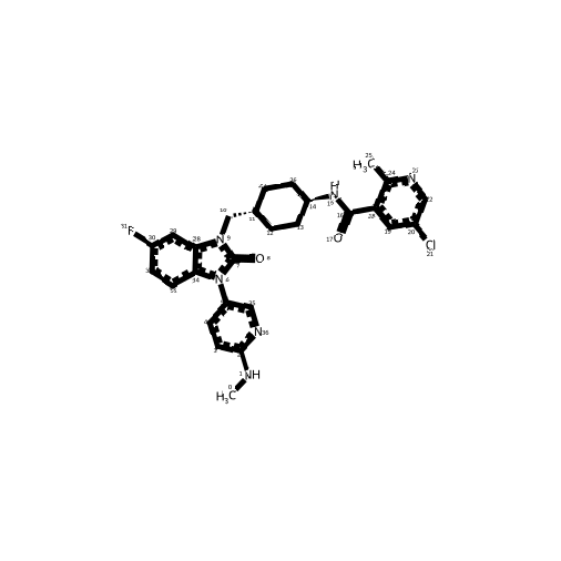 CNc1ccc(-n2c(=O)n(C[C@H]3CC[C@H](NC(=O)c4cc(Cl)cnc4C)CC3)c3cc(F)ccc32)cn1